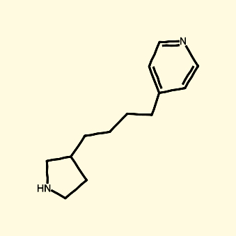 c1cc(CCCCC2CCNC2)ccn1